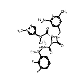 CC[C@@H](NC(=O)N1C(=O)[C@H](Cc2cc(C)nc(N)c2)[C@H]1C(=O)N(C)c1cnn(C)c1)c1cccc(F)c1F